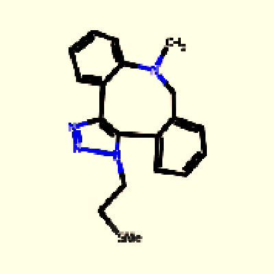 CSCCn1nnc2c1-c1ccccc1CN(C)c1ccccc1-2